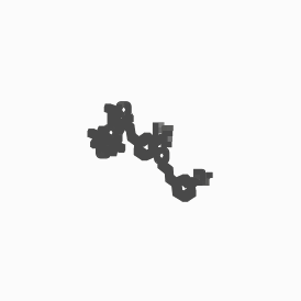 CC1=NC(CCc2ccc(OCCCc3cccc(Br)c3)c(C(F)(F)F)c2)(COP(=O)(C(C)(C)C)C(C)(C)C)CO1